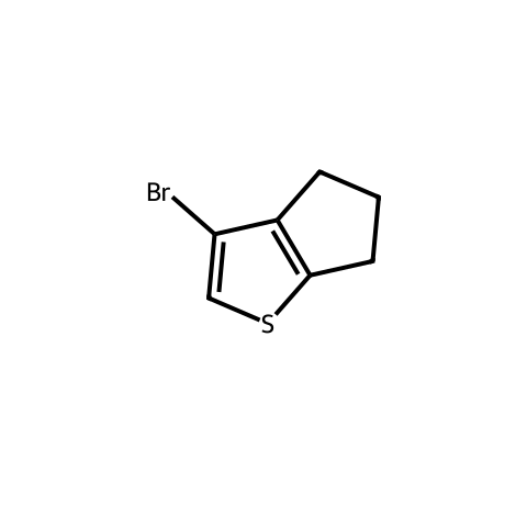 Brc1csc2c1CCC2